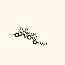 CCn1c(=O)[nH]/c(=N\c2ccc(Oc3cccc(C(=O)O)n3)c(C)c2)n(Cc2ccc(Cl)cc2)c1=O